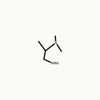 C[N]CC(C)N(C)C